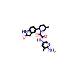 Cc1cc(NC(=O)C(=O)N2CC(C)CCC2c2ccc3c(c2)CC(=O)N3)cnc1N